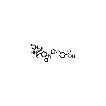 CN(c1cc(F)c(S(=O)(=O)Nc2cscn2)cc1Cl)C1CCN(Cc2cccc(C(=O)O)c2)C1